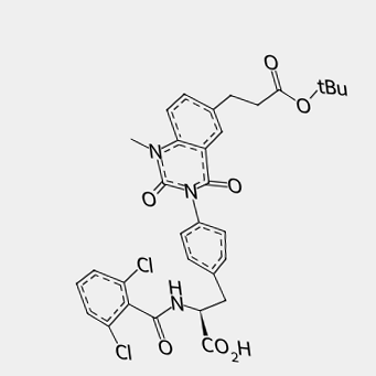 Cn1c(=O)n(-c2ccc(C[C@H](NC(=O)c3c(Cl)cccc3Cl)C(=O)O)cc2)c(=O)c2cc(CCC(=O)OC(C)(C)C)ccc21